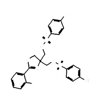 Cc1ccc(S(=O)(=O)OCC2(COS(=O)(=O)c3ccc(C)cc3)COC(c3ccccc3Cl)=N2)cc1